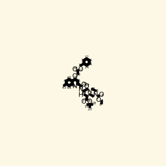 CCOC(=O)N1CCN(C(=O)[C@H](CCC(=O)OC(C)(C)C)NC(=O)c2cc(OCC(=O)OCc3ccccc3)c3ccc(C)cc3n2)CC1